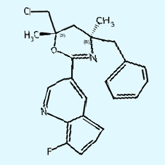 C[C@@]1(Cc2ccccc2)C[C@@](C)(CCl)OC(c2cnc3c(F)cccc3c2)=N1